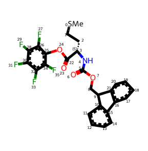 CSCC[C@H](NC(=O)OCC1c2ccccc2-c2ccccc21)C(=O)Oc1c(F)c(F)c(F)c(F)c1F